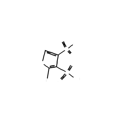 O=S(=O)(O)c1csc(F)c1S(=O)(=O)O